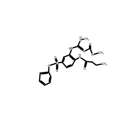 CCCC(=O)Nc1ccc(S(=O)(=O)Oc2ccccc2)cc1NC(=NC(=O)OC)NC